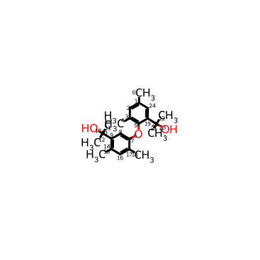 Cc1cc(C)c(Oc2cc(C(C)(C)O)c(C)cc2C)c(C(C)(C)O)c1